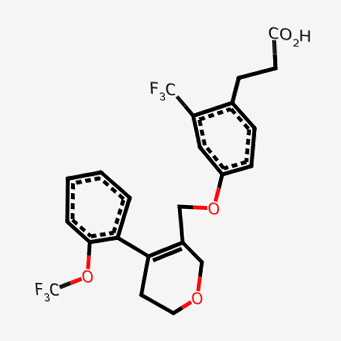 O=C(O)CCc1ccc(OCC2=C(c3ccccc3OC(F)(F)F)CCOC2)cc1C(F)(F)F